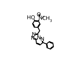 C[N+](=O)c1cc(Cc2nnc3ccc(-c4ccccc4)nn23)ccc1O